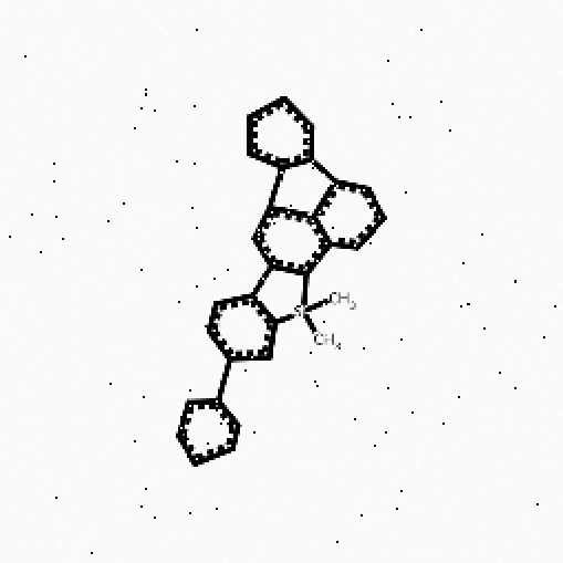 C[Si]1(C)c2cc(-c3ccccc3)ccc2-c2cc3c4c(cccc4c21)-c1ccccc1-3